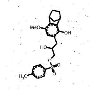 COc1cc(CC(O)COS(=O)(=O)c2ccc(C)cc2)c(O)c2c1C1CCC2C1